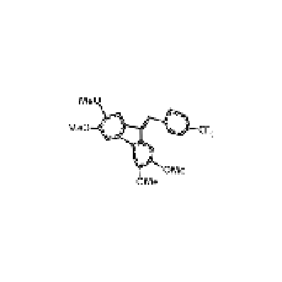 COc1cc2c(cc1OC)-c1cc(OC)c(OC)cc1C2=Cc1ccc(C(F)(F)F)cc1